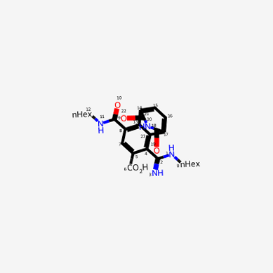 CCCCCCNC(=N)c1c(C(=O)O)cc(C(=O)NCCCCCC)c2c3ccc(c(=O)[nH]c3=O)c12